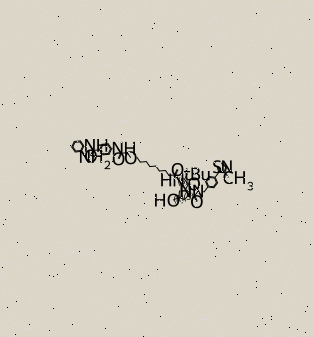 Cc1ncsc1-c1ccc(CNC(=O)[C@@H]2C[C@@H](O)CN2C(=O)[C@@H](NC(=O)CCCCCCCCOCC(=O)Nc2ccc(C(=O)Nc3ccccc3N)cc2)C(C)(C)C)cc1